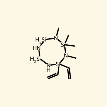 C=C[Si]1(C=C)N[SiH2]N[SiH2]N(C)[Si](C)(C)N1C